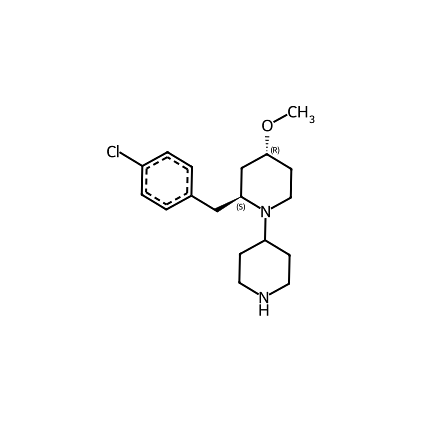 CO[C@@H]1CCN(C2CCNCC2)[C@@H](Cc2ccc(Cl)cc2)C1